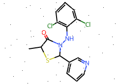 CC1SC(c2cccnc2)N(Nc2c(Cl)cccc2Cl)C1=O